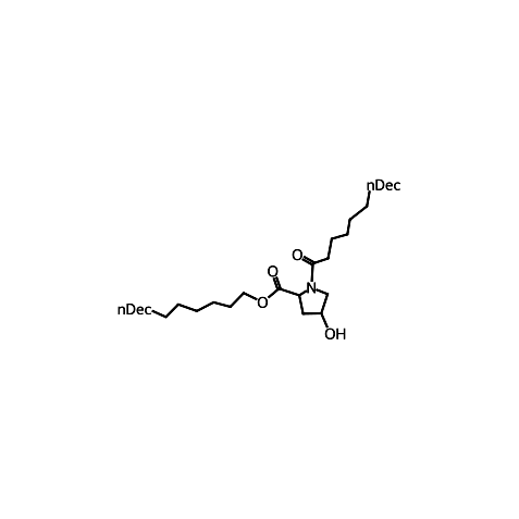 CCCCCCCCCCCCCCCCOC(=O)C1CC(O)CN1C(=O)CCCCCCCCCCCCCCC